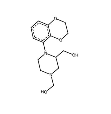 OCC1CN(CO)CCN1c1cccc2c1OCCO2